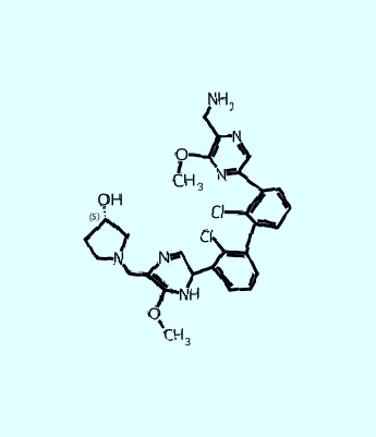 COC1=C(CN2CC[C@H](O)C2)N=CC(c2cccc(-c3cccc(-c4cnc(CN)c(OC)n4)c3Cl)c2Cl)N1